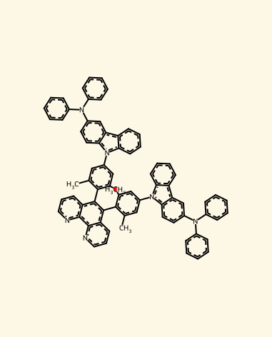 Cc1cc(-n2c3ccccc3c3cc(N(c4ccccc4)c4ccccc4)ccc32)cc(C)c1-c1c(-c2c(C)cc(-n3c4ccccc4c4cc(N(c5ccccc5)c5ccccc5)ccc43)cc2C)c2cccnc2c2ncccc12